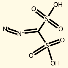 [N-]=[N+]=C(S(=O)(=O)O)S(=O)(=O)O